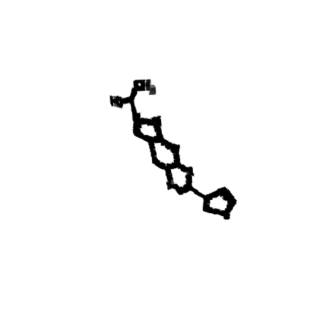 CC(O)n1cc2cc3ncc(-c4ccsc4)nc3cc2n1